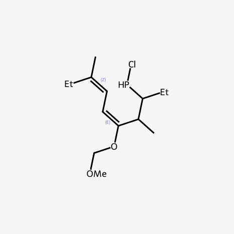 CC/C(C)=C\C=C(\OCOC)C(C)C(CC)PCl